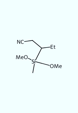 CCC(CC#N)[Si](C)(OC)OC